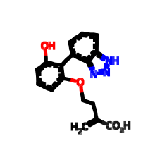 C=C(CCOc1cccc(O)c1-c1cccc2[nH]nnc12)C(=O)O